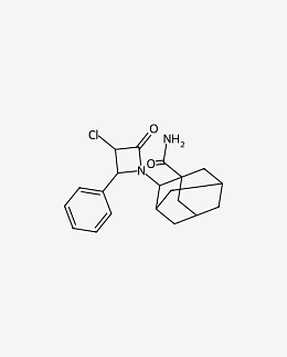 NC(=O)C12CC3CC(CC(C3)C1N1C(=O)C(Cl)C1c1ccccc1)C2